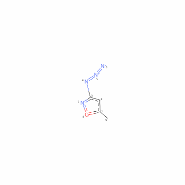 Cc1cc(N=[N+]=[N-])no1